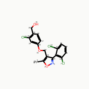 CC(C)c1onc(-c2c(Cl)cccc2Cl)c1COc1ccc(CO)c(Cl)c1